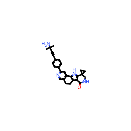 CC(C)(N)C#Cc1ccc(-c2cc3c(cn2)CCc2c-3[nH]c3c2C(=O)NCC32CC2)cc1